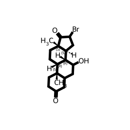 C[C@]12CCC(=O)CC1CC(O)[C@@H]1[C@H]2CC[C@]2(C)C(=O)C(Br)C[C@@H]12